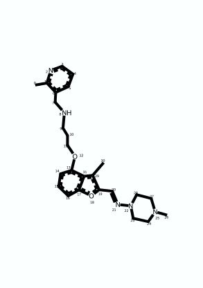 Cc1ncccc1CNCCCOc1cccc2oc(C=NN3CCN(C)CC3)c(C)c12